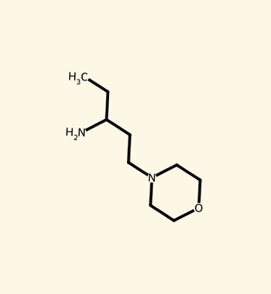 CCC(N)CCN1CCOCC1